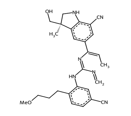 C=N/C(=N\C(=C/C)c1cc(C#N)c2c(c1)[C@@](C)(CO)CN2)Nc1cc(C#N)ccc1CCCOC